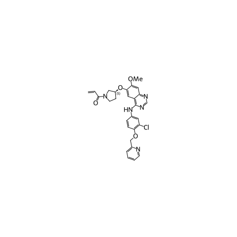 C=CC(=O)N1CC[C@H](Oc2cc3c(Nc4ccc(OCc5ccccn5)c(Cl)c4)ncnc3cc2OC)C1